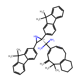 C=C1/C=C(C(N)(N)[C@@]2(c3ccc4c(c3)C(C)(C)c3ccccc3-4)NC2c2ccc3c(c2)C(C)(C)c2ccccc2-3)\C=C/CC2=C(CCCC2)C1(C)C